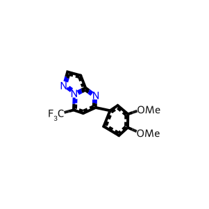 COc1ccc(-c2cc(C(F)(F)F)n3nccc3n2)cc1OC